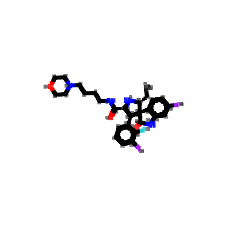 CC(C)(C)C[C@H]1N[C@@H](C(=O)NCCCCN2CCOCC2)[C@H](c2cccc(I)c2F)[C@@]12C(=O)Nc1cc(I)ccc12